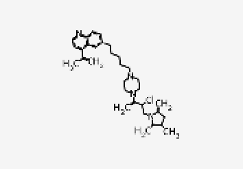 C=C(C)c1ccnc2ccc(CCCCCN3CCN(C(=C)C(Cl)CN4C(=C)CC(C)C4=C)CC3)cc12